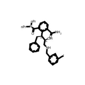 CCCN(CCC)C(=O)c1cccc(C(N)=O)c1[C@H](Cc1ccccc1)[C@@H](O)CNCc1cccc(I)c1